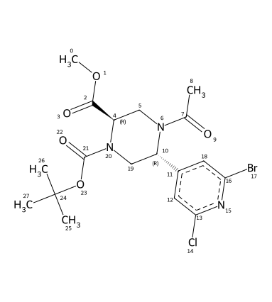 COC(=O)[C@H]1CN(C(C)=O)[C@H](c2cc(Cl)nc(Br)c2)CN1C(=O)OC(C)(C)C